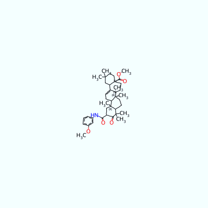 COC(=O)[C@]12CCC(C)(C)CC1C1=CCC3[C@@]4(C)CC(C(=O)Nc5cccc(OC)c5)C(=O)C(C)(C)C4CC[C@@]3(C)[C@]1(C)CC2